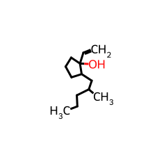 C=CC1(O)CCCC1CC(C)CCC